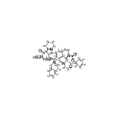 CCCCN(CCCC)C(=O)c1cc(-c2cc3c(cc2C(=O)N2Cc4ccccc4C[C@H]2CN2CCOCC2)CN(C(=O)Oc2ccccc2)CC3)n2c1CCCC2